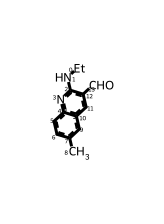 CCNc1nc2ccc(C)cc2cc1C=O